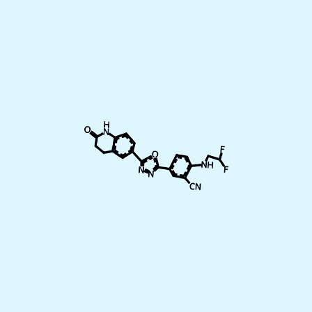 N#Cc1cc(-c2nnc(-c3ccc4c(c3)CCC(=O)N4)o2)ccc1NCC(F)F